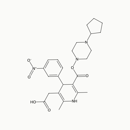 CC1=C(CC(=O)O)C(c2cccc([N+](=O)[O-])c2)C(C(=O)ON2CCN(C3CCCC3)CC2)=C(C)N1